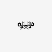 CC(=S)N(NC(=O)CC(=O)NN(C(C)=S)c1ccccn1)c1ccccn1